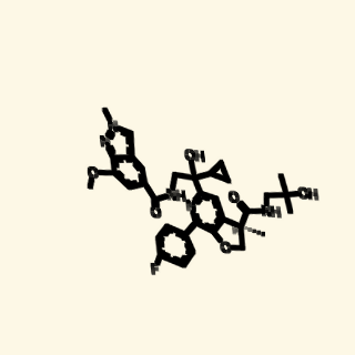 COc1cc(C(=O)NCC(O)(c2cc3c(c(-c4ccc(F)cc4)n2)OC[C@]3(C)C(=O)NCC(C)(C)O)C2CC2)cc2cn(C)nc12